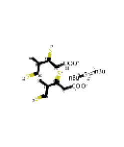 CC(C=S)C(=S)CC(=O)[O-].CC(C=S)C(=S)CC(=O)[O-].CCC[CH2][Sn+2][CH2]CCC